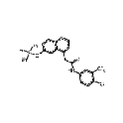 CC(C)[Si](Oc1ccc2cccc(CC(=O)Nc3ccc(Cl)c(C(F)(F)F)c3)c2c1)(C(C)C)C(C)C